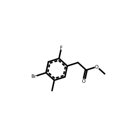 COC(=O)Cc1cc(C)c(Br)cc1F